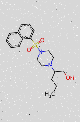 CCCC(CO)N1CCN(S(=O)(=O)c2cccc3ccccc23)CC1